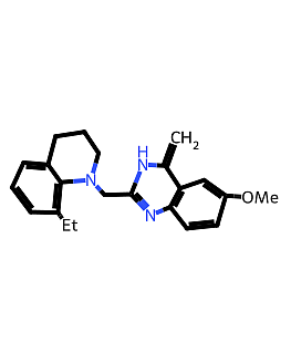 C=C1NC(CN2CCCc3cccc(CC)c32)=Nc2ccc(OC)cc21